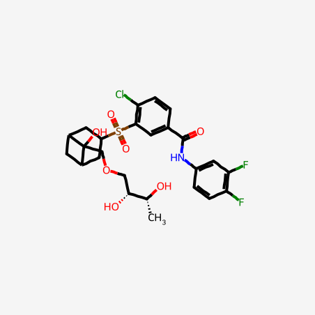 C[C@@H](O)[C@H](O)COCC1(O)C2CC1CC(S(=O)(=O)c1cc(C(=O)Nc3ccc(F)c(F)c3)ccc1Cl)C2